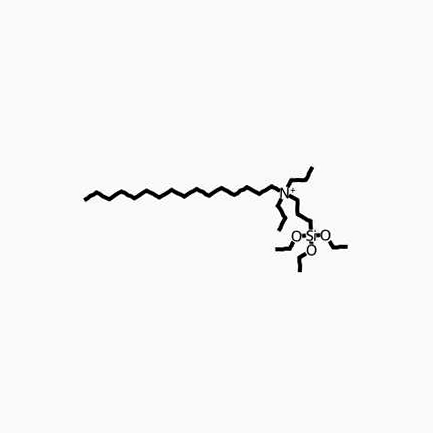 CCCCCCCCCCCCCCCC[N+](CCC)(CCC)CCC[Si](OCC)(OCC)OCC